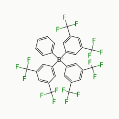 FC(F)(F)c1cc([B-](c2ccccc2)(c2cc(C(F)(F)F)cc(C(F)(F)F)c2)c2cc(C(F)(F)F)cc(C(F)(F)F)c2)cc(C(F)(F)F)c1